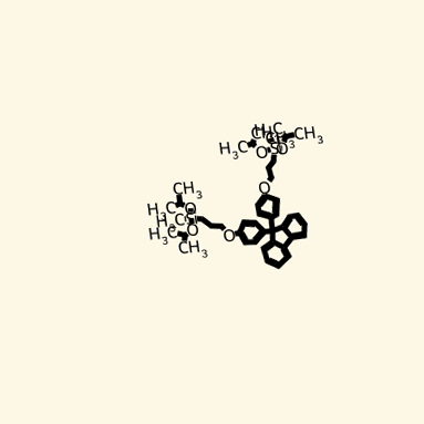 CC(C)O[Si](C)(CCCOc1ccc(C2(c3ccc(OCCC[Si](C)(OC(C)C)OC(C)C)cc3)c3ccccc3-c3ccccc32)cc1)OC(C)C